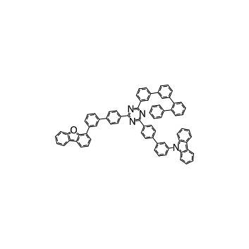 c1ccc(-c2ccccc2-c2cccc(-c3cccc(-c4nc(-c5ccc(-c6cccc(-c7cccc8c7oc7ccccc78)c6)cc5)nc(-c5ccc(-c6cccc(-n7c8ccccc8c8ccccc87)c6)cc5)n4)c3)c2)cc1